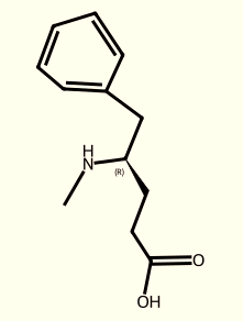 CN[C@H](CCC(=O)O)Cc1ccccc1